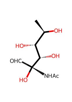 CC(=O)N[C@@](O)(C=O)[C@@H](O)[C@H](O)[C@@H](C)O